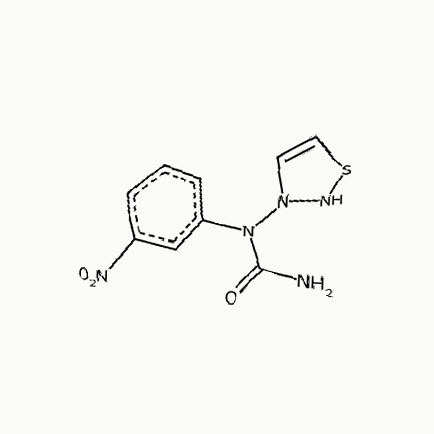 NC(=O)N(c1cccc([N+](=O)[O-])c1)N1C=CSN1